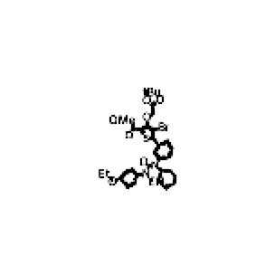 CCOc1ccc(N(C)C(=O)N(c2cccc(-c3sc(C(=O)OC)c(OCC(=O)OC(C)(C)C)c3Br)c2)C2CCCCC2)cc1